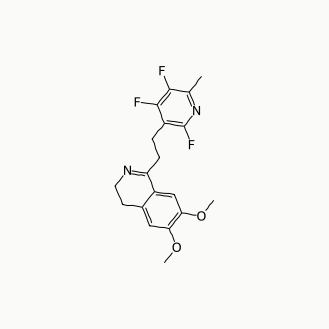 COc1cc2c(cc1OC)C(CCc1c(F)nc(C)c(F)c1F)=NCC2